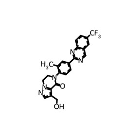 Cc1cc(-c2ncc3cc(C(F)(F)F)ccc3n2)ccc1N1CCn2ncc(CO)c2C1=O